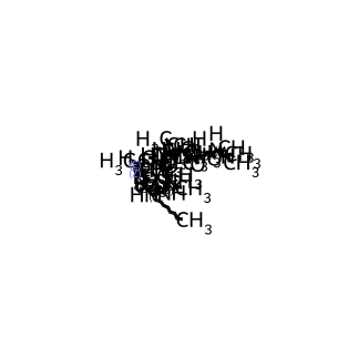 C=C(/C=C\C(=C/C)OC)C(=O)N1CCC[C@H]1C(=O)N[C@@H](CCCCCCCC)C(=O)N[C@@H](CC(C)C)C(=O)NC(C)(C)C(=O)N[C@@H](CC(C)C)C(=O)N[C@@H](CC(C)C)C(=O)NC(C)(C)C(=O)NC(C)(C)C(=O)NCCC(=O)N[C@@H](C)CN(C)C